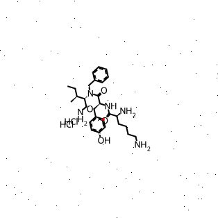 CC[C@H](C)[C@@H](C(N)=O)N(Cc1ccccc1)C(=O)[C@H](Cc1ccc(O)cc1)NC(=O)[C@@H](N)CCCCN.Cl.Cl